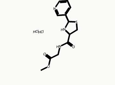 COC(=O)CNC(=O)C1CSC(c2cccnc2)N1.Cl.Cl